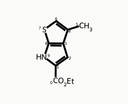 CCOC(=O)c1cc2c(C)csc2[nH]1